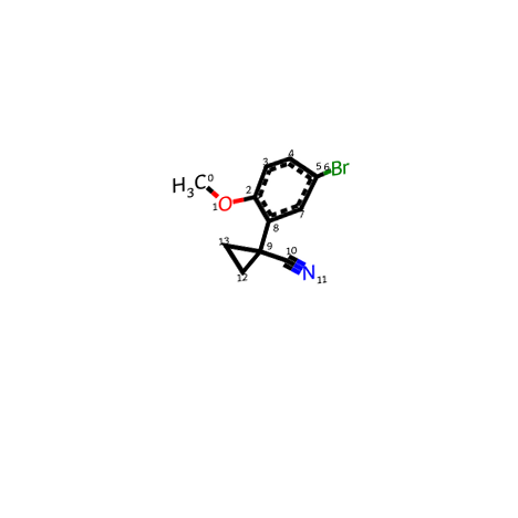 COc1ccc(Br)cc1C1(C#N)CC1